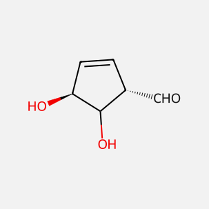 O=C[C@H]1C=C[C@H](O)C1O